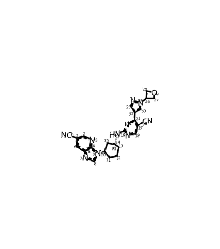 N#Cc1cnc2c(c1)ncn2[C@H]1CCC[C@@H](Nc2ncc(C#N)c(-c3cnn(C4COC4)c3)n2)C1